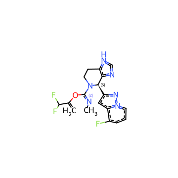 C=C(O/C(=N\C)N1CCc2[nH]cnc2[C@H]1c1cc2c(F)cccn2n1)C(F)F